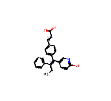 CC/C(=C(/c1ccc(/C=C/C(=O)O)cc1)c1ccc(O)nc1)c1ccccc1